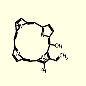 [2H]c1c(C=C)c2c(O)c3nc(cc4ccc(cc5nc(cc1n2CC)C=C5)[nH]4)C=C3